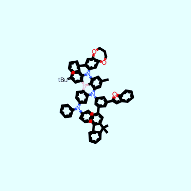 Cc1cc2c3c(c1)N(c1cc4c(cc1-c1ccccc1)OCCCO4)c1ccc(C(C)(C)C)cc1B3c1ccc(N(c3ccccc3)c3ccccc3)cc1N2c1cc(-c2ccc3c(c2)C(C)(C)c2ccccc2-3)cc(-c2cc3ccccc3o2)c1